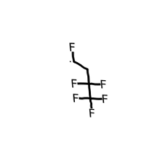 F[CH]CC(F)(F)C(F)(F)F